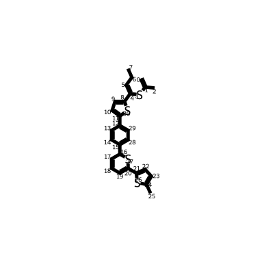 C=C(C)S/C(=C\CC)c1ccc(-c2ccc(C3C=CC=C(c4ccc(C)s4)S3)cc2)s1